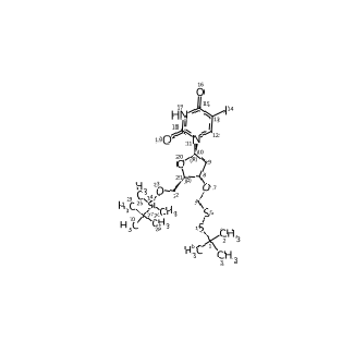 CC(C)(C)SSCOC1C[C@H](n2cc(I)c(=O)[nH]c2=O)O[C@@H]1CO[Si](C)(C)C(C)(C)C